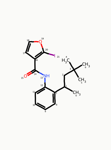 CC(CC(C)(C)C)c1ccccc1NC(=O)c1ccoc1I